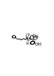 CN1CC[C@@]2(c3cccc(O)c3)C[C@H](NC(=O)CCCCCc3ccccc3)CC[C@]2(O)C1